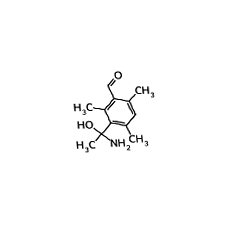 Cc1cc(C)c(C(C)(N)O)c(C)c1C=O